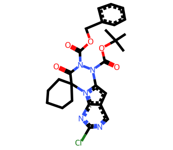 CC(C)(C)OC(=O)N1c2cc3cnc(Cl)nc3n2C2(CCCCC2)C(=O)N1C(=O)OCc1ccccc1